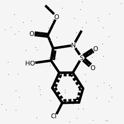 COC(=O)C1=C(O)c2cc(Cl)ccc2S(=O)(=O)N1C